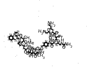 CC[C@H](C)[C@@H]([C@@H](CC(=O)N1CCC[C@H]1[C@H](OC)[C@@H](C)C(=O)N[C@@H](Cc1ccccc1)c1nccs1)OC)N(C)C(=O)[C@@H](NC(=O)C(C)(C)NC(=O)OCc1ccc(NC(=O)[C@H](CCCNC(N)=O)NC(=O)C(NC(=O)[C@H](CCCCN)NC(=O)CN)C(C)C)cc1)C(C)C